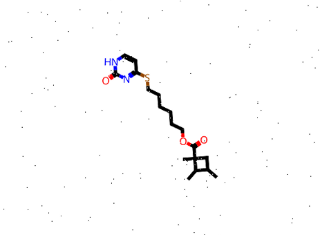 CC1CC(C)(C(=O)OCCCCCCSc2cc[nH]c(=O)n2)C1C